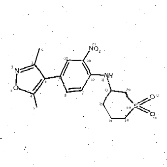 Cc1noc(C)c1-c1ccc(NC2CCCS(=O)(=O)C2)c([N+](=O)[O-])c1